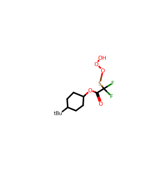 CC(C)(C)C1CCC(OC(=O)C(F)(F)SOOO)CC1